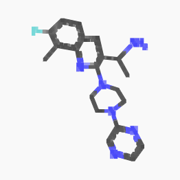 Cc1c(F)ccc2cc(C(C)N)c(N3CCN(c4cnccn4)CC3)nc12